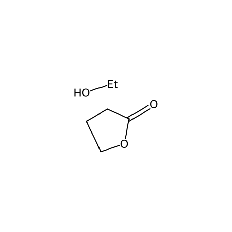 CCO.O=C1CCCO1